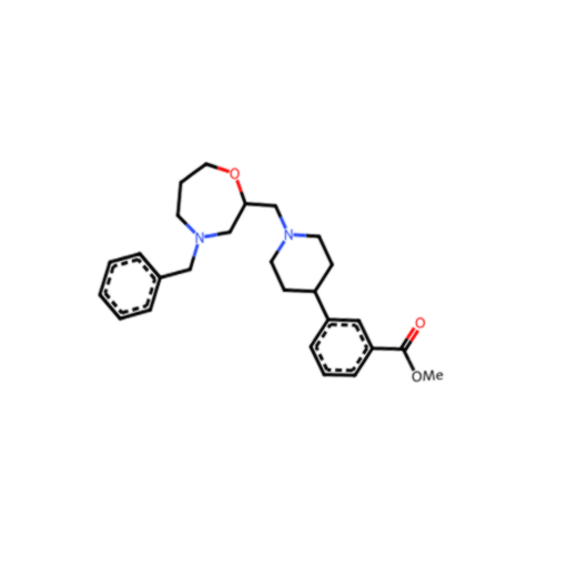 COC(=O)c1cccc(C2CCN(CC3CN(Cc4ccccc4)CCCO3)CC2)c1